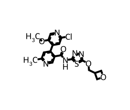 COc1cnc(Cl)cc1-c1cc(C)ncc1C(=O)Nc1nnc(OCC2COC2)s1